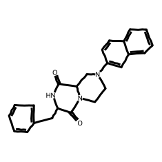 O=C1NC(Cc2ccccc2)C(=O)N2CCN(c3ccc4ccccc4c3)CC12